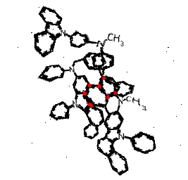 CN(c1ccc(-n2c3ccccc3c3ccccc32)cc1)c1ccc(-n2c3ccccc3c3c(-c4cc5c6ccc7ccccc7c6n(-c6ccccc6)c5cc4N(C)c4ccc(-c5cccc(CN(c6ccccc6)c6ccc7c8ccc9ccccc9c8n(-c8ccccc8)c7c6)c5)cc4)cccc32)cc1